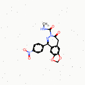 CNC(=O)N1N=C(c2ccc([N+](=O)[O-])cc2)c2cc3c(cc2CC1=O)OCO3